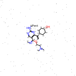 C=C(c1nc(NC(C)CCC)ncc1/C(=N\C)OCCN(C)C)[C@H]1CC[C@H](O)CC1